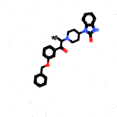 CC(C(=O)c1cccc(OCc2ccccc2)c1)N1CCC(n2c(=O)[nH]c3ccccc32)CC1